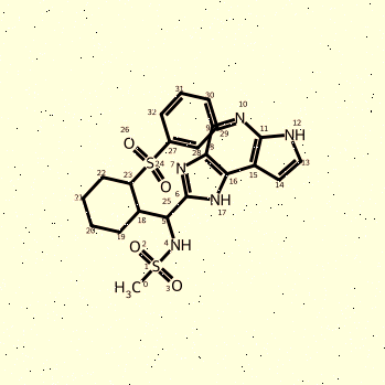 CS(=O)(=O)NC(c1nc2cnc3[nH]ccc3c2[nH]1)C1CCCCC1S(=O)(=O)c1ccccc1